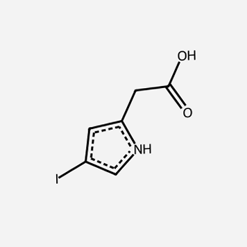 O=C(O)Cc1cc(I)c[nH]1